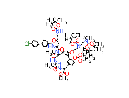 COC(=O)[C@@H]1Cc2ccc(OC(=O)OC(C)(C)C)c(c2)-c2cc(ccc2OCCN(CCN(C)C(=O)OC(C)(C)C)C(=O)OC(C)(C)C)[C@H](N(C)C(=O)[C@H](CCCCNC(=O)OC(C)(C)C)NC(=O)c2ccc(-c3ccc(Cl)cc3)cc2)C(=O)N[C@@H](C)C(=O)N1